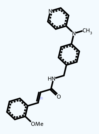 COc1ccccc1/C=C/C(=O)NCc1ccc(N(C)c2ccncc2)cc1